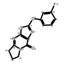 O=c1c2nc(Oc3cccc(F)c3)sc2nc2n1CCC2